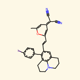 CC1=CC(=C(C#N)C#N)C=C(/C=C/c2cc3c4c(c2-c2ccc(I)cc2)CCCN4CCC3)O1